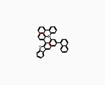 c1ccc(-c2ccccc2N(c2cccc(-c3cccc4ccccc34)c2)c2ccccc2-c2cccc3c2sc2ccccc23)cc1